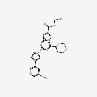 CCNC(=O)c1cc2nc(-n3cc(-c4cccc(C)c4)cn3)nc(N3CCOCC3)c2o1